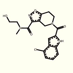 CN(CCO)C(=O)c1noc2c1CN(C(=O)c1cc3c(Cl)cccc3[nH]1)CC2